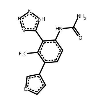 NC(=O)Nc1ccc(-c2ccoc2)c(C(F)(F)F)c1-c1nnn[nH]1